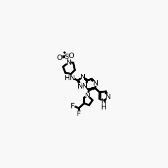 CS(=O)(=O)N1CCC(Nc2nc3cnc(-c4cn[nH]c4)c(N4CCC(C(F)F)C4)n3n2)CC1